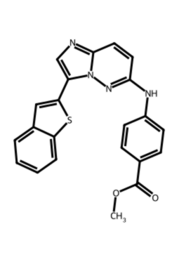 COC(=O)c1ccc(Nc2ccc3ncc(-c4cc5ccccc5s4)n3n2)cc1